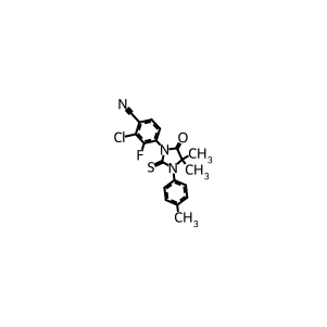 Cc1ccc(N2C(=S)N(c3ccc(C#N)c(Cl)c3F)C(=O)C2(C)C)cc1